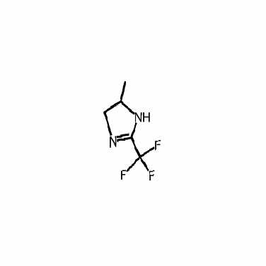 CC1CN=C(C(F)(F)F)N1